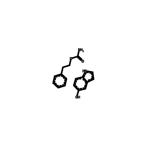 NC(=O)OCCc1ccccc1.Oc1ccc2[nH]ccc2c1